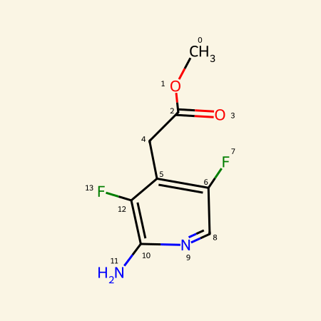 COC(=O)Cc1c(F)cnc(N)c1F